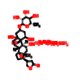 C[C@@H]1O[C@@H](O[C@H]2C[C@@H](O)[C@]3(CO)[C@H]4[C@H](O)C[C@]5(C)[C@@H](C6=CC(=O)OC6)CC[C@]5(O)[C@@H]4CC[C@]3(O)C2)[C@H](O)[C@H](O)[C@H]1O.O.O.O.O.O.O.O.O